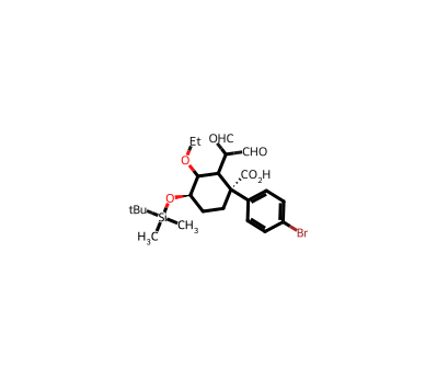 CCOC1C(C(C=O)C=O)[C@@](C(=O)O)(c2ccc(Br)cc2)CC[C@H]1O[Si](C)(C)C(C)(C)C